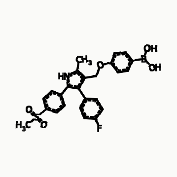 Cc1[nH]c(-c2ccc(S(C)(=O)=O)cc2)c(-c2ccc(F)cc2)c1COc1ccc(B(O)O)cc1